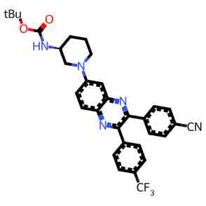 CC(C)(C)OC(=O)N[C@H]1CCCN(c2ccc3nc(-c4ccc(C(F)(F)F)cc4)c(-c4ccc(C#N)cc4)nc3c2)C1